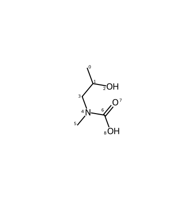 CC(O)CN(C)C(=O)O